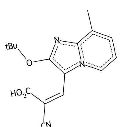 Cc1cccn2c(C=C(C#N)C(=O)O)c(OC(C)(C)C)nc12